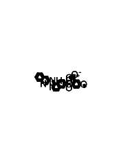 COc1ccc(S(=O)(=O)N2CCc3c(ccnc3Nc3cnc4ccccc4c3)C2)c([N+](=O)[O-])c1